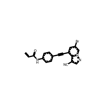 C=CC(=O)Nc1ccc(C#Cc2cc(Br)cn3ncc(C#N)c23)cc1